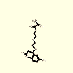 C=C(C)C(=O)SCCSCCSc1cc(=O)oc2ccc(C)cc12